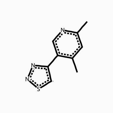 Cc1cc(C)c(-c2[c]snn2)cn1